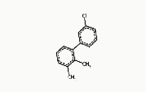 Cc1cccc(-c2[c]ccc(Cl)c2)c1C